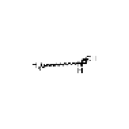 CCCCCCCCCCCCCCCCCNc1ccc(O)cc1